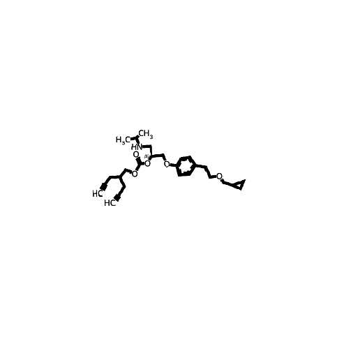 C#CCC(CC#C)COC(=O)O[C@@H](CNC(C)C)COc1ccc(CCOCC2CC2)cc1